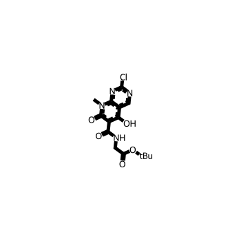 Cn1c(=O)c(C(=O)NCC(=O)OC(C)(C)C)c(O)c2cnc(Cl)nc21